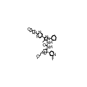 COCCN1C[C@@H](NC(=O)Nc2c(C)c(-c3cnc(N4CC5(COC5)C4)nc3)nn2-c2ccccc2)[C@H](c2ccnc(F)c2)O1